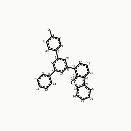 Cc1ccc(-c2cc(-c3ccccc3)cc(-c3cccc4c3oc3ccccc34)c2)cc1